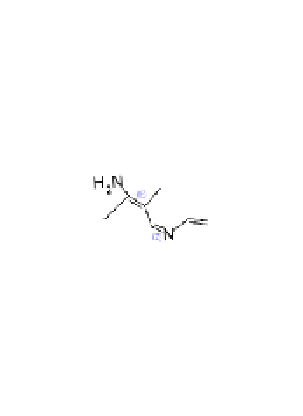 C=C/N=C\C(C)=C(/C)N